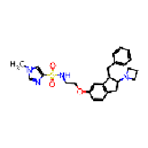 Cn1cnc(S(=O)(=O)NCCOc2ccc3c(c2)C(Cc2ccccc2)C(N2CCC2)C3)c1